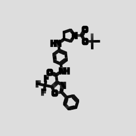 CC(C)(C)OC(=O)N1CCC(Nc2ccc(NC(=O)c3nc(-c4ccccc4)oc3C(F)(F)F)cc2)C1